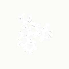 COc1nc2c(-c3c(C)ccc4ccccc34)cc(-c3c(C)noc3C)cc2[nH]1